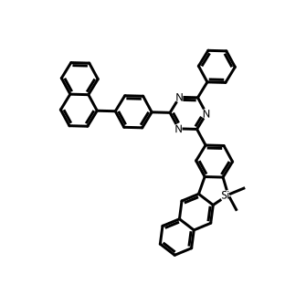 C[Si]1(C)c2ccc(-c3nc(-c4ccccc4)nc(-c4ccc(-c5cccc6ccccc56)cc4)n3)cc2-c2cc3ccccc3cc21